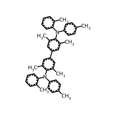 Cc1ccc(N(c2ccccc2C)c2c(C)cc(-c3cc(C)c(N(c4ccc(C)cc4)c4ccccc4C)c(C)c3)cc2C)cc1